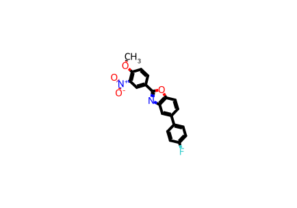 COc1ccc(-c2nc3cc(-c4ccc(F)cc4)ccc3o2)cc1[N+](=O)[O-]